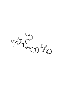 CC(C)(C)OC(=O)NC(CC(=O)N1CCc2ccc(NS(=O)(=O)c3ccccc3)cc2C1)Cc1ccccc1F